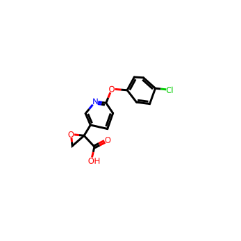 O=C(O)C1(c2ccc(Oc3ccc(Cl)cc3)nc2)CO1